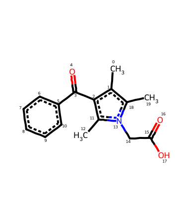 Cc1c(C(=O)c2ccccc2)c(C)n(CC(=O)O)c1C